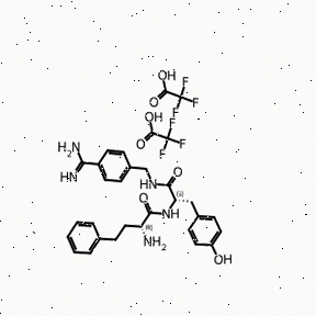 N=C(N)c1ccc(CNC(=O)[C@H](Cc2ccc(O)cc2)NC(=O)[C@H](N)CCc2ccccc2)cc1.O=C(O)C(F)(F)F.O=C(O)C(F)(F)F